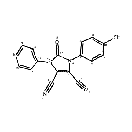 N#Cc1c(C#N)n(-c2ccc(Cl)cc2)c(=O)n1-c1ccccc1